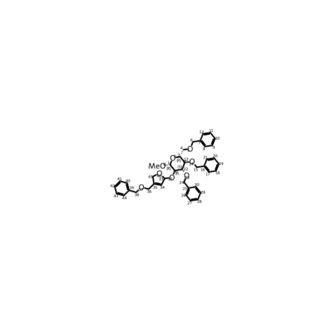 CO[C@@H]1O[C@H](COCc2ccccc2)[C@@H](OCc2ccccc2)[C@H](OCc2ccccc2)[C@H]1OC1C=C(COCc2ccccc2)CO1